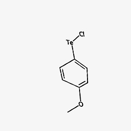 COc1ccc([Te]Cl)cc1